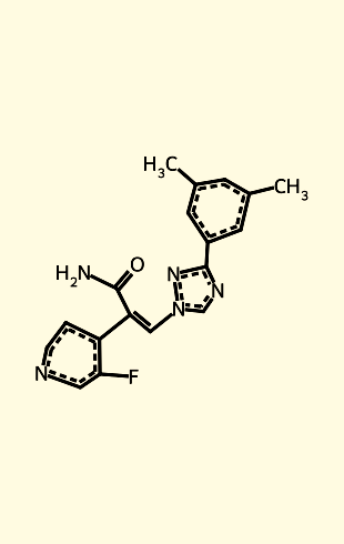 Cc1cc(C)cc(-c2ncn(C=C(C(N)=O)c3ccncc3F)n2)c1